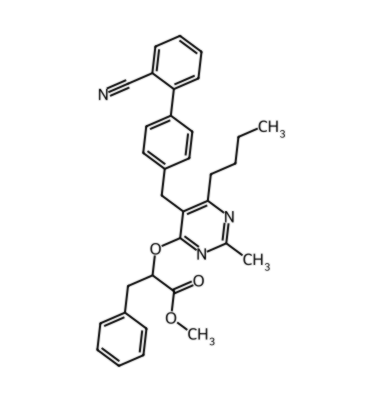 CCCCc1nc(C)nc(OC(Cc2ccccc2)C(=O)OC)c1Cc1ccc(-c2ccccc2C#N)cc1